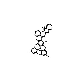 Cc1cc(C)c(B(c2c(C)cc(C)cc2C)c2c(C)c(C)c(-c3cc4cc5ccccc5nc4c4ccccc34)c(C)c2C)c(C)c1